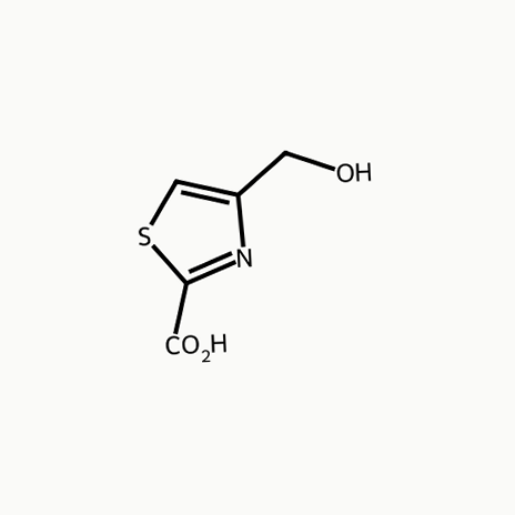 O=C(O)c1nc(CO)cs1